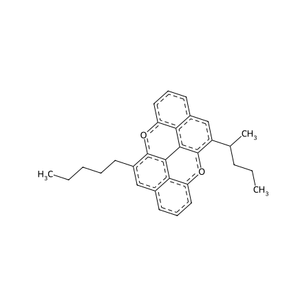 CCCCCc1cc2cccc3oc4c(C(C)CCC)cc5cccc6oc1c(c23)-c4c56